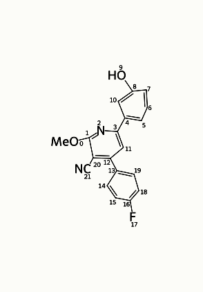 COc1nc(-c2cccc(O)c2)cc(-c2ccc(F)cc2)c1C#N